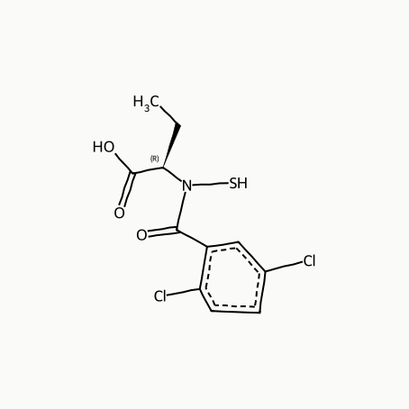 CC[C@H](C(=O)O)N(S)C(=O)c1cc(Cl)ccc1Cl